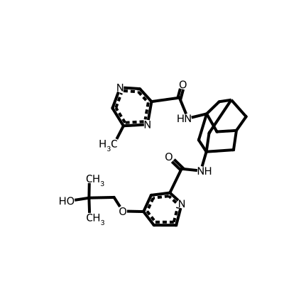 Cc1cncc(C(=O)NC23CC4CC(CC(NC(=O)c5cc(OCC(C)(C)O)ccn5)(C4)C2)C3)n1